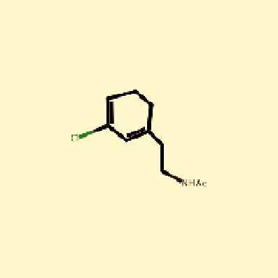 CC(=O)NCCC1=CC(Cl)=CCC1